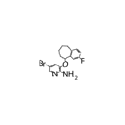 Nc1ncc(Br)cc1OC1CCCCc2ccc(F)cc21